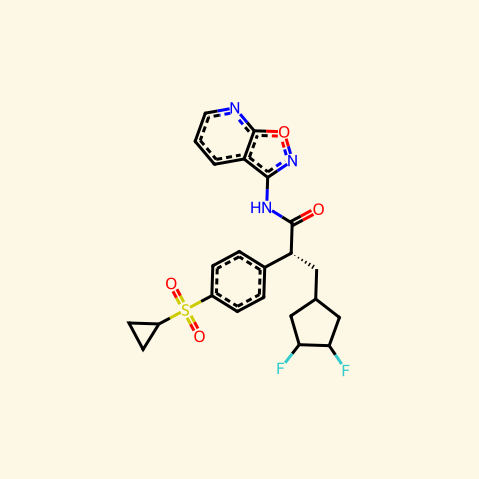 O=C(Nc1noc2ncccc12)[C@H](CC1CC(F)C(F)C1)c1ccc(S(=O)(=O)C2CC2)cc1